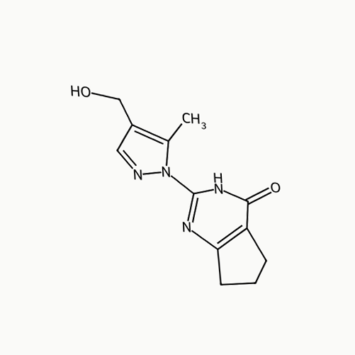 Cc1c(CO)cnn1-c1nc2c(c(=O)[nH]1)CCC2